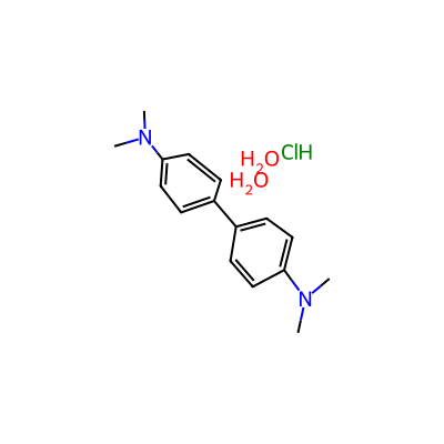 CN(C)c1ccc(-c2ccc(N(C)C)cc2)cc1.Cl.O.O